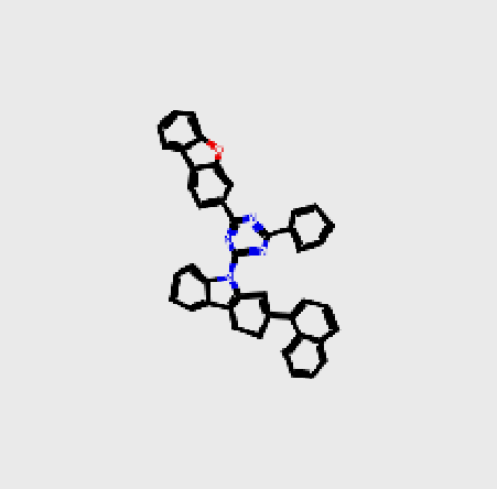 C1=C(c2cccc3ccccc23)CCc2c1n(-c1nc(-c3ccccc3)nc(-c3ccc4c(c3)oc3ccccc34)n1)c1ccccc21